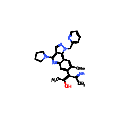 COc1cc2c(cc1/C(C(C)=N)=C(\C)O)nc(N1CCCC1)c1cnn(Cc3ccccn3)c12